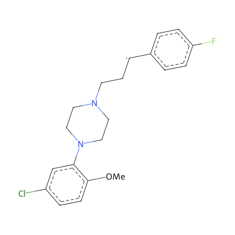 COc1ccc(Cl)cc1N1CCN(CC[CH]c2ccc(F)cc2)CC1